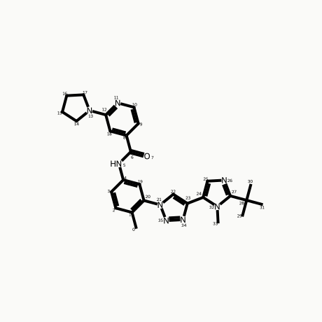 Cc1ccc(NC(=O)c2ccnc(N3CCCC3)c2)cc1-n1cc(-c2cnc(C(C)(C)C)n2C)nn1